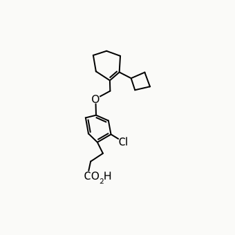 O=C(O)CCc1ccc(OCC2=C(C3CCC3)CCCC2)cc1Cl